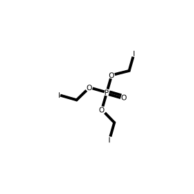 O=P(OCI)(OCI)OCI